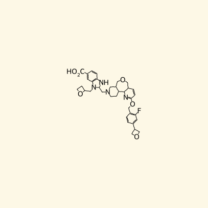 O=C(O)c1ccc2c(c1)N(CC1CCO1)C(CN1CCC3C(COCC4C=CC(OCc5ccc(C6COC6)cc5F)=NC43)C1)N2